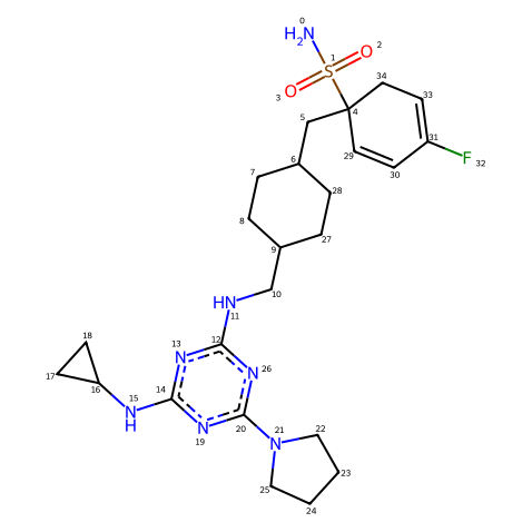 NS(=O)(=O)C1(CC2CCC(CNc3nc(NC4CC4)nc(N4CCCC4)n3)CC2)C=CC(F)=CC1